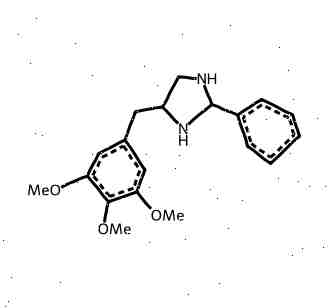 COc1cc(CC2CNC(c3ccccc3)N2)cc(OC)c1OC